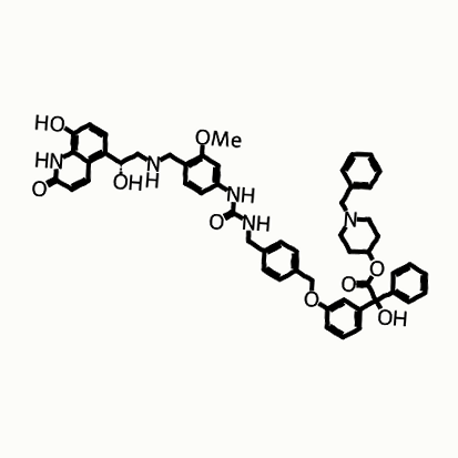 COc1cc(NC(=O)NCc2ccc(COc3cccc(C(O)(C(=O)OC4CCN(Cc5ccccc5)CC4)c4ccccc4)c3)cc2)ccc1CNC[C@H](O)c1ccc(O)c2[nH]c(=O)ccc12